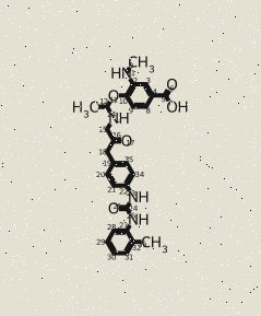 CNc1cc(C(=O)O)ccc1OC(C)NCC(=O)Cc1ccc(NC(=O)Nc2ccccc2C)cc1